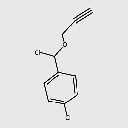 C#CCOC(Cl)c1ccc(Cl)cc1